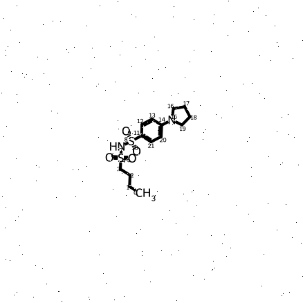 CCCCS(=O)(=O)NS(=O)(=O)c1ccc(N2CCCC2)cc1